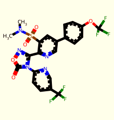 CN(C)S(=O)(=O)c1cc(-c2ccc(OC(F)(F)F)cc2)cnc1-c1noc(=O)n1-c1ccc(C(F)(F)F)cn1